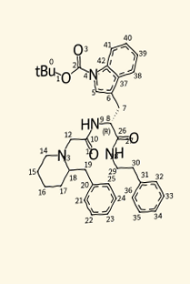 CC(C)(C)OC(=O)n1cc(C[C@@H](NC(=O)CN2CCCCC2Cc2ccccc2)C(=O)NCCc2ccccc2)c2ccccc21